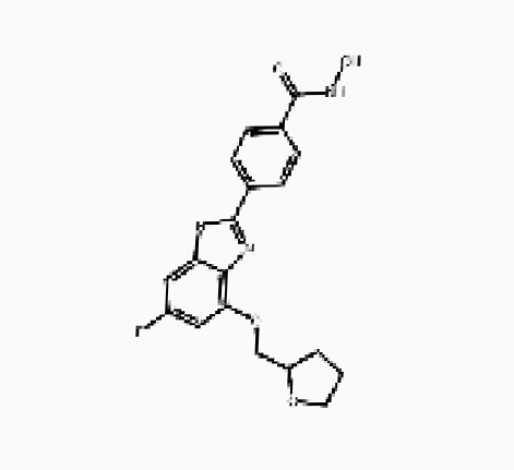 O=C(NO)c1ccc(-c2nc3c(OCC4CCCO4)cc(F)cc3[nH]2)cc1